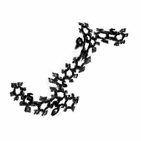 O=c1c2ccccc2c2cc(-c3ccc(-c4ccc(-c5ccc6c(c5)c(=O)n5c7ccccc7c7c(-c8ccc9sc%10ccccc%10c9c8)ccc6c75)cc4)s3)cc3c4cc(-c5ccc(-c6ccccc6)s5)ccc4n1c23